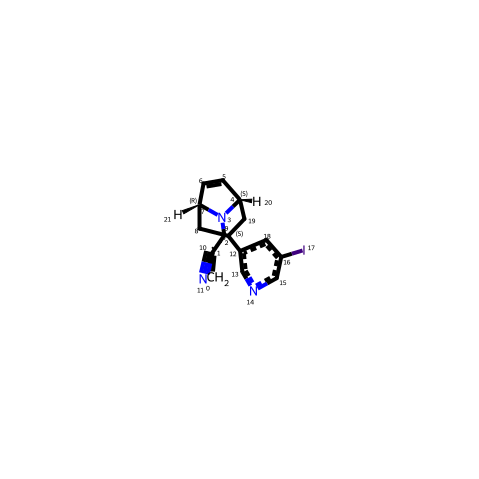 C=CCN1[C@@H]2C=C[C@H]1C[C@](C#N)(c1cncc(I)c1)C2